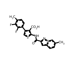 Cc1ccc2cc(C(=O)Nc3scc(-c4ccc(C)c(F)c4F)c3C(=O)O)nn2c1